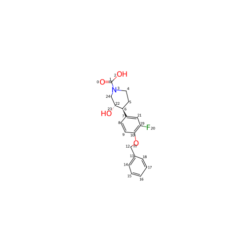 O=C(O)N1CC[C@@H](c2ccc(OCc3ccccc3)c(F)c2)[C@H](O)C1